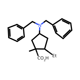 CCC1CC(N(Cc2ccccc2)Cc2ccccc2)CC1(C)C(=O)O